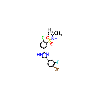 CC(C)NS(=O)(=O)c1cc(-c2nc(-c3ccc(Br)c(F)c3)c[nH]2)ccc1Cl